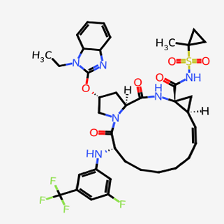 CCN1C(O[C@@H]2C[C@H]3C(=O)N[C@]4(C(=O)NS(=O)(=O)C5(C)CC5)C[C@H]4/C=C\CCCCC[C@H](Nc4cc(F)cc(C(F)(F)F)c4)C(=O)N3C2)=NC2C=CC=CC21